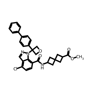 COC(=O)C1CC2(CC(NC(=O)c3ccc(Cl)c4cnn(C5(c6ccc(-c7ccccc7)cc6)COC5)c34)C2)C1